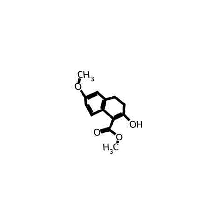 COC(=O)C1=C(O)CCc2cc(OC)ccc21